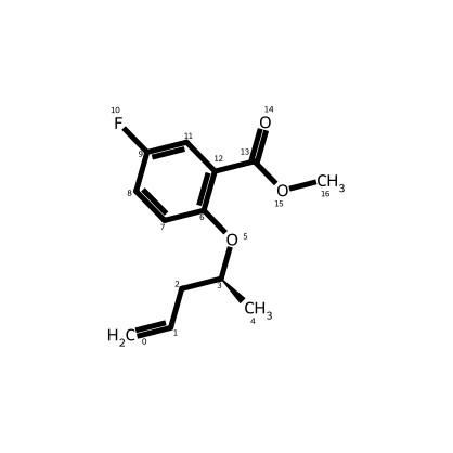 C=CC[C@H](C)Oc1ccc(F)cc1C(=O)OC